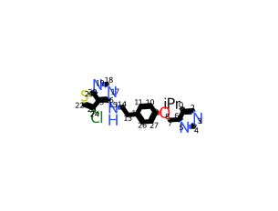 CC(C)c1cncnc1COc1ccc(CCNc2ncnc3scc(Cl)c23)cc1